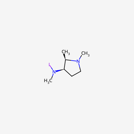 C[C@@H]1[C@H](N(C)I)CCN1C